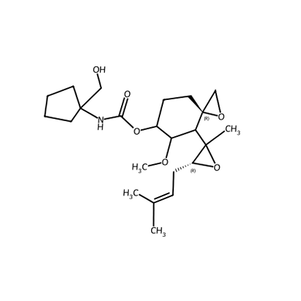 COC1C(OC(=O)NC2(CO)CCCC2)CC[C@]2(CO2)C1C1(C)O[C@@H]1CC=C(C)C